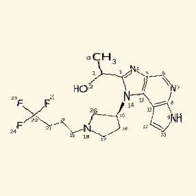 CC(O)c1nc2cnc3[nH]ccc3c2n1[C@H]1CCN(CCCC(F)(F)F)C1